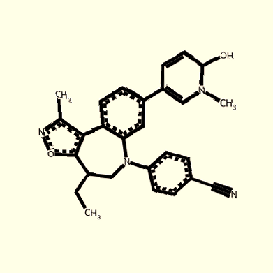 CCC1CN(c2ccc(C#N)cc2)c2cc(C3=CN(C)C(O)C=C3)ccc2-c2c(C)noc21